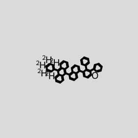 [2H]c1c([2H])c([2H])c(-c2c3ccccc3c(-c3cccc4c(-c5ccc6oc7ccccc7c6c5-c5ccccc5)cccc34)c3ccccc23)c([2H])c1[2H]